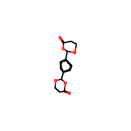 O=C1CCOC(c2ccc(C3OCCC(=O)O3)cc2)O1